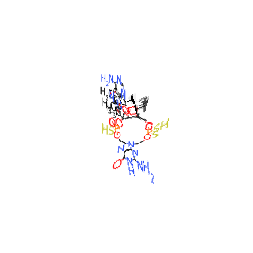 CC(C)(C)[Si](C)(C)OC1[C@H]2OP(=O)(S)OCc3nc4c(=O)[nH]c(N)nc4n3CCOP(=S)(S)OC[C@H]1O[C@H]2n1cnc2c(N)ncnc21